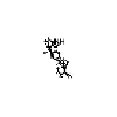 CN(c1ncnc2[nH]ccc12)[C@H]1CC[C@@H](CS(=O)(=O)N2CCCC(C#N)C2)CC1